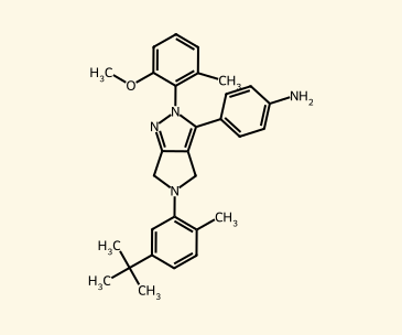 COc1cccc(C)c1-n1nc2c(c1-c1ccc(N)cc1)CN(c1cc(C(C)(C)C)ccc1C)C2